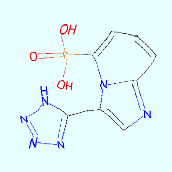 O=P(O)(O)c1cccc2ncc(-c3nnn[nH]3)n12